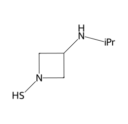 CC(C)NC1CN(S)C1